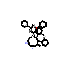 C=C1/C=C\C=C/CN(c2nc(-c3ccccc3)nc(-c3ccccc3)n2)C2=C1c1ccccc1Sc1ccccc12